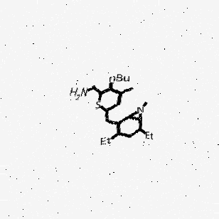 CCCCC1C(C)CC(CC2C(CC)CC(CC)C3C2N3C)SC1CN